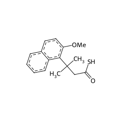 COc1ccc2ccccc2c1C(C)(C)CC(=O)S